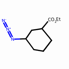 CCOC(=O)C1CCCC(N=[N+]=[N-])C1